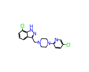 Clc1ccc(N2CCN(Cc3n[nH]c4c(Cl)cccc34)CC2)nc1